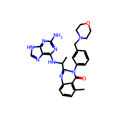 Cc1cccc2nc(C(C)Nc3nc(N)nc4[nH]cnc34)n(-c3cccc(CN4CCOCC4)c3)c(=O)c12